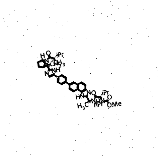 CCCN(C(=O)[C@@H](NC(=O)OC)C(C)C)[C@@H](C)c1nc2ccc3cc(-c4ccc(-c5cnc([C@]6(C)C7CC[C@H](C7)N6C(=O)[C@@H](C)C(C)C)[nH]5)cc4)ccc3c2[nH]1